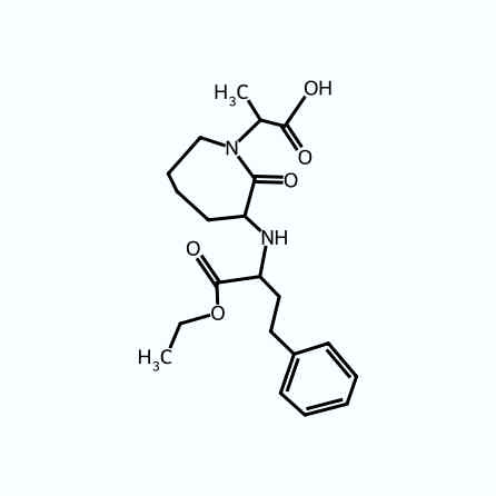 CCOC(=O)C(CCc1ccccc1)NC1CCCCN(C(C)C(=O)O)C1=O